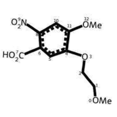 COCCOc1cc(C(=O)O)c([N+](=O)[O-])cc1OC